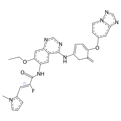 C=C1CC(Nc2ncnc3cc(OCC)c(NC(=O)/C(F)=C/c4cccn4C)cc23)=CC=C1Oc1ccn2ncnc2c1